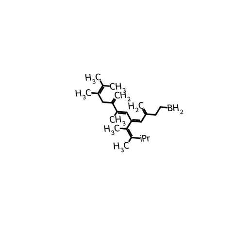 BCCC(=C)/C=C(\C=C(/C)C(=C)CC(C)=C(C)C)C(/C)=C(/C)C(C)C